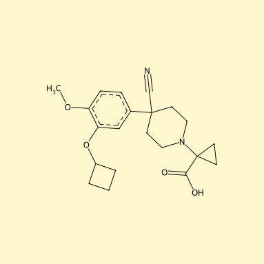 COc1ccc(C2(C#N)CCN(C3(C(=O)O)CC3)CC2)cc1OC1CCC1